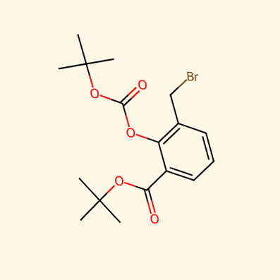 CC(C)(C)OC(=O)Oc1c(CBr)cccc1C(=O)OC(C)(C)C